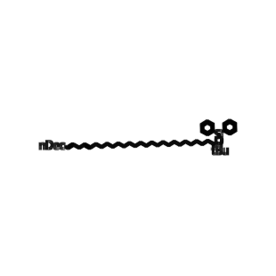 CCCCCCCCCCC=CCC=CCCCCCCCCCCCCCCCCCCCCCC(O[SiH](c1ccccc1)c1ccccc1)C(C)(C)C